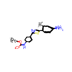 CC(C)OC(=O)NC1CCC(c2ncc(-c3ccc(N)cc3C#N)s2)CC1